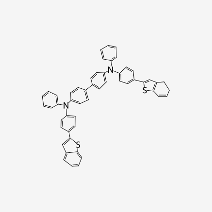 C1=Cc2sc(-c3ccc(N(c4ccccc4)c4ccc(-c5ccc(N(c6ccccc6)c6ccc(-c7cc8ccccc8s7)cc6)cc5)cc4)cc3)cc2CC1